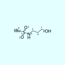 CC(C)(C)S(=O)(=O)NCCCO